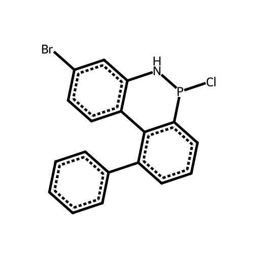 ClP1Nc2cc(Br)ccc2-c2c(-c3ccccc3)cccc21